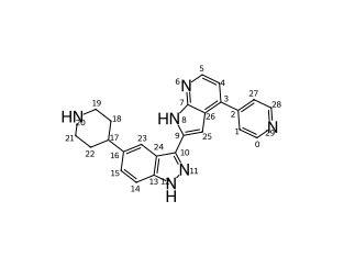 c1cc(-c2ccnc3[nH]c(-c4n[nH]c5ccc(C6CCNCC6)cc45)cc23)ccn1